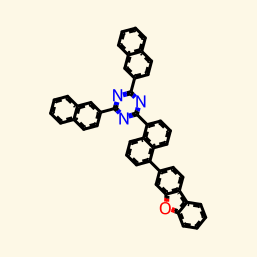 c1ccc2cc(-c3nc(-c4ccc5ccccc5c4)nc(-c4cccc5c(-c6ccc7c(c6)oc6ccccc67)cccc45)n3)ccc2c1